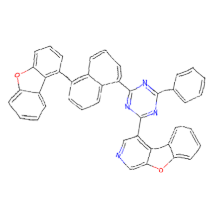 c1ccc(-c2nc(-c3cccc4c(-c5cccc6oc7ccccc7c56)cccc34)nc(-c3cncc4oc5ccccc5c34)n2)cc1